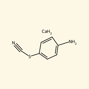 N#CSc1ccc(N)cc1.[CaH2]